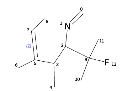 C=NC(C(C)/C(C)=C\C)C(C)(C)F